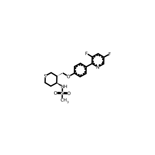 CS(=O)(=O)N[C@H]1CCSC[C@@H]1COc1ccc(-c2ncc(F)cc2F)cc1